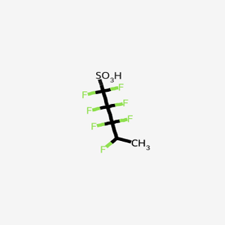 CC(F)C(F)(F)C(F)(F)C(F)(F)S(=O)(=O)O